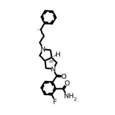 NC(=O)c1c(F)cccc1C(=O)N1CC2CN(CC[CH]c3ccccc3)C[C@H]2C1